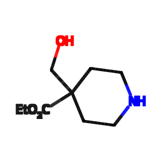 CCOC(=O)C1(CO)CCNCC1